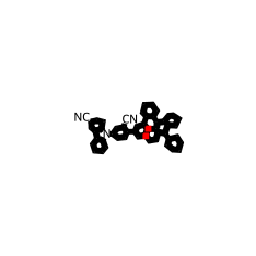 N#Cc1ccc2c(c1)c1ccccc1n2-c1ccc(-c2cccc(-c3ccccc3-c3c4ccccc4c(-c4ccccc4)c4ccccc34)c2)c(C#N)c1